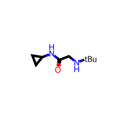 CC(C)(C)NCC(=O)NC1CC1